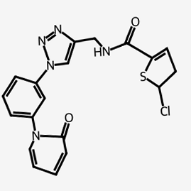 O=C(NCc1cn(-c2cccc(-n3ccccc3=O)c2)nn1)C1=CCC(Cl)S1